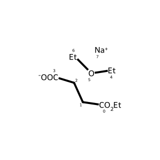 CCOC(=O)CCC(=O)[O-].CCOCC.[Na+]